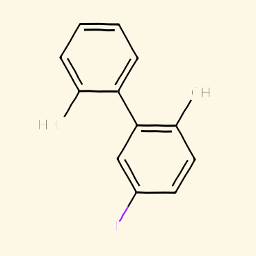 Cc1ccccc1-c1cc(I)ccc1C